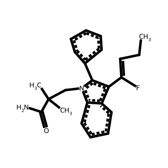 CC/C=C(\F)c1c(-c2ccccc2)n(CC(C)(C)C(N)=O)c2ccccc12